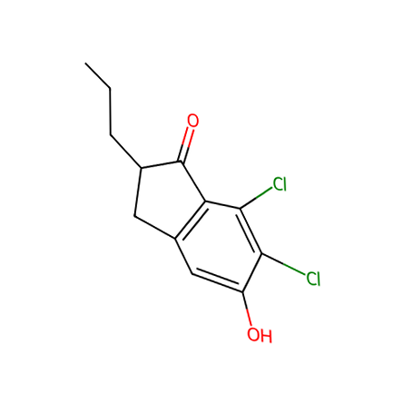 CCCC1Cc2cc(O)c(Cl)c(Cl)c2C1=O